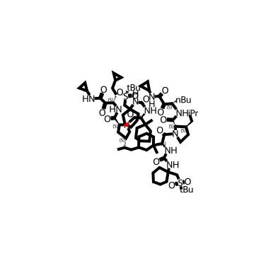 CCCC[C@H](NC(=O)[C@@H]1[C@@H](CC(C)C)CCN1C(=O)[C@@H](NC(=O)NC1(CS(=O)(=O)C(C)(C)C)CCCCC1)C1(C)CCCC(CC(C)[C@@H]2C[C@@H](C(=O)N[C@@H](CCC3CC3)C(=O)C(=O)NC3CC3)N(C(=O)[C@@H](NC(=O)NC3(CS(=O)(=O)C(C)(C)C)CCCCC3)C3(C)CCCCC3)C2)C1)C(=O)C(=O)NC1CC1